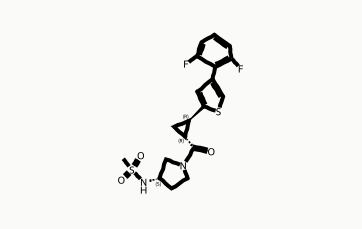 CS(=O)(=O)N[C@H]1CCN(C(=O)[C@@H]2C[C@H]2c2cc(-c3c(F)cccc3F)cs2)C1